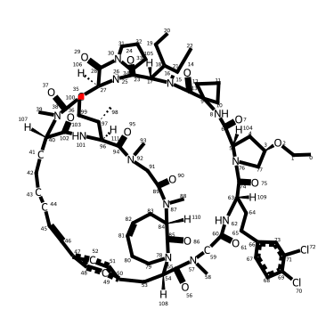 CCO[C@@H]1C[C@H]2C(=O)NC3(CCC3)C(=O)N(C)[C@@H](C(CC)CC)C(=O)N(C)[C@H](C(=O)N3CCCC3)CC(=O)N(C)[C@H]3CCCC/C=C\c4ccc(cc4)C[C@@H](C(=O)N(C)CC(=O)N[C@@H](CCc4ccc(Cl)c(Cl)c4)C(=O)N2C1)N1CC/C=C\C[C@@H](C1=O)N(C)C(=O)CN(C)C(=O)[C@H]([C@@H](C)CC)NC3=O